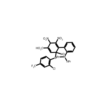 CCCN(CCC)c1ccccc1C1=C([N+](=O)[O-])C([N+](=O)[O-])C(C(=O)O)=CC1(Oc1ccc(C(F)(F)F)cc1Cl)[N+](=O)[O-]